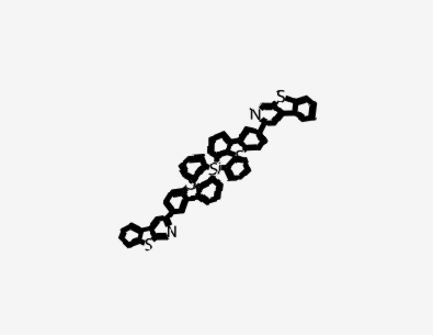 c1ccc([Si](c2ccccc2)(c2cccc3c2sc2ccc(-c4cc5c(cn4)sc4ccccc45)cc23)c2cccc3c2sc2ccc(-c4cc5c(cn4)sc4ccccc45)cc23)cc1